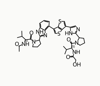 CC(=O)N[C@H](C(=O)N1CCCC1c1nc2c(-c3csc4c(-c5cnc(C6CCCN6C(=O)[C@@H](NC(=O)CO)C(C)C)[nH]5)csc34)cccc2[nH]1)C(C)C